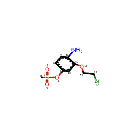 CS(=O)(=O)Oc1ccc(N)c(OCCBr)c1